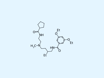 CCOc1cc(OCC)cc(C(=O)NCC(CC)CCN(C)CCNC(=O)C2CCCC2)c1